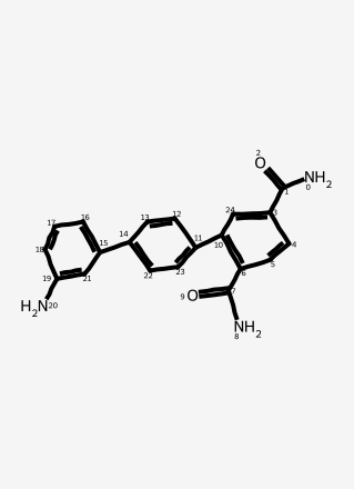 NC(=O)c1ccc(C(N)=O)c(-c2ccc(-c3cccc(N)c3)cc2)c1